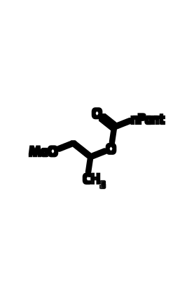 CCCCCC(=O)OC(C)COC